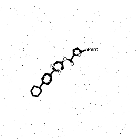 CCCCCc1ccc(C(=O)Oc2cnc(-c3ccc(C4CCCCC4)cc3)nc2)o1